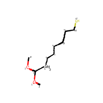 COC(OC)[SiH2]CCCCCCS